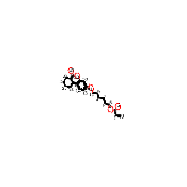 C=CC(=O)OCCCCCCOc1ccc2c3c(c(=O)oc2c1)CCCC3